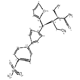 CC(C)C[C@@H](C(N)=O)N(CC#N)[C@@H](c1ccc(-c2ccc(S(C)(=O)=O)cc2)cc1)c1ccco1